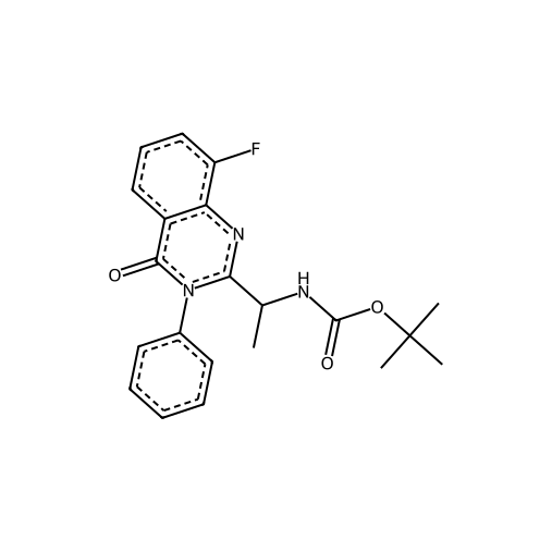 CC(NC(=O)OC(C)(C)C)c1nc2c(F)cccc2c(=O)n1-c1ccccc1